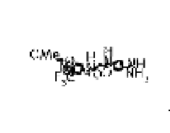 COCCN(C)S(=O)(=O)c1ccc([C@H](C)NC(=O)CC(=O)Nc2ccc(C(=N)N)cc2)cc1C(F)(F)F